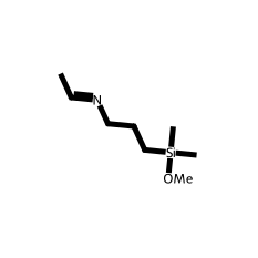 CC=NCCC[Si](C)(C)OC